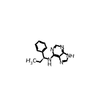 CC[C@H](Nc1ncnc2[nH]cnc12)c1ccccc1